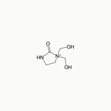 O=C1NCC[N+]1(CO)CO